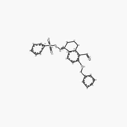 O=Cc1c(OCc2ccccc2)ccc2c1CCC/C2=N\OS(=O)(=O)c1ccccc1